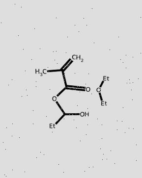 C=C(C)C(=O)OC(O)CC.CCOCC